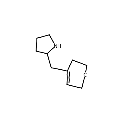 C1=C(CC2CCCN2)CCCC1